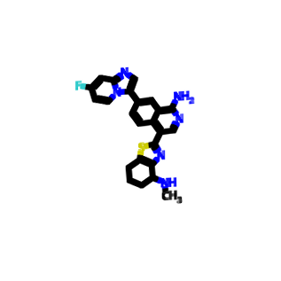 CNC1CCCc2sc(-c3cnc(N)c4cc(-c5cnc6cc(F)ccn56)ccc34)nc21